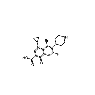 O=C(O)c1cn(C2CC2)c2c(Br)c(N3CCNCC3)c(F)cc2c1=O